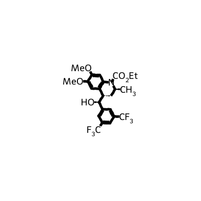 CCOC(=O)N1c2cc(OC)c(OC)cc2[C@@H]([C@H](O)c2cc(C(F)(F)F)cc(C(F)(F)F)c2)C[C@@H]1C